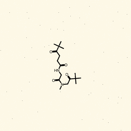 CN(CC(=O)C(C)(C)C)C(=O)CNC(=O)CCC(=O)C(C)(C)C